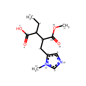 CCC(C(=O)O)C(Cc1cncn1C)C(=O)OC